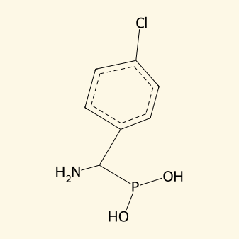 NC(c1ccc(Cl)cc1)P(O)O